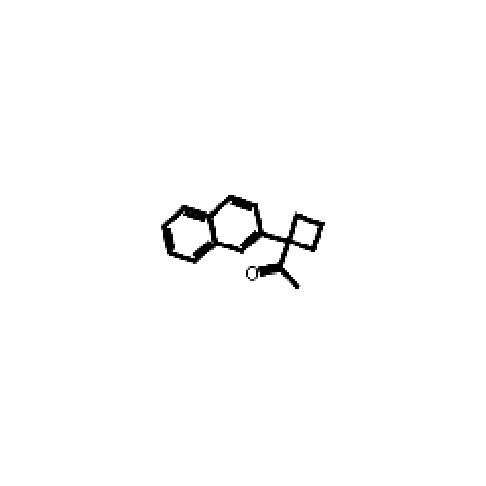 CC(=O)C1(c2ccc3ccccc3c2)CCC1